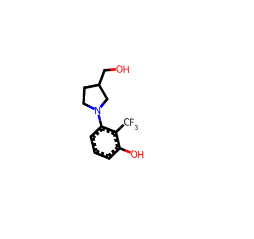 OCC1CCN(c2cccc(O)c2C(F)(F)F)C1